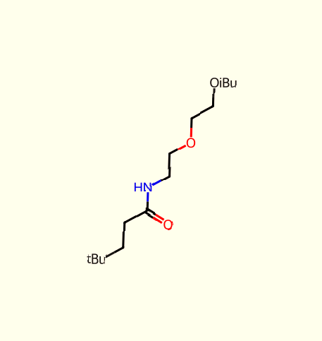 CC(C)COCCOCCNC(=O)CCC(C)(C)C